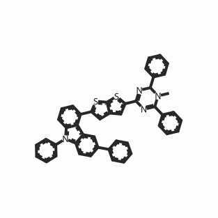 CN1C(c2ccccc2)=NC(c2cc3cc(-c4cccc5c4c4cc(-c6ccccc6)ccc4n5-c4ccccc4)sc3s2)=NC1c1ccccc1